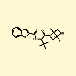 CC(C)(C)C(NC(=O)c1cc2ccccc2s1)C(=O)N1C[C@H]2NCC21C